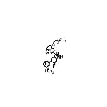 CN1CCN(c2ccnc3[nH]c(-c4n[nH]c5cc(F)c(-c6cncc(N)c6)cc45)nc23)CC1